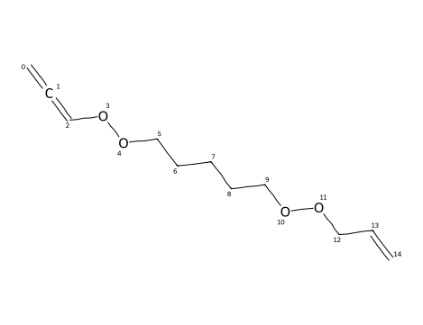 C=C=COOCCCCCOOCC=C